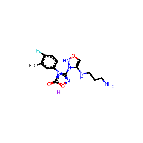 I.NCCCNC1=CONN1c1noc(=O)n1-c1ccc(F)c(C(F)(F)F)c1